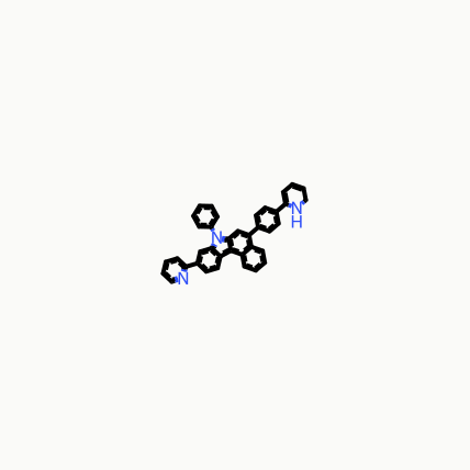 C1=CCNC(c2ccc(-c3cc4c(c5ccccc35)c3ccc(-c5ccccn5)cc3n4-c3ccccc3)cc2)=C1